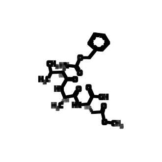 COC(=O)C[C@H](NC(=O)[C@H](C)NC(=O)[C@@H](NC(=O)OCc1ccccc1)C(C)C)C(=O)O